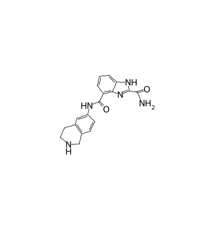 NC(=O)c1nc2c(C(=O)Nc3ccc4c(c3)CCNC4)cccc2[nH]1